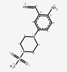 CS(=O)(=O)N1CCN(c2ccc(N)c(C=N)c2)CC1